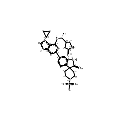 C[C@@H](Oc1nc(-c2ccc3c(c2)NC(=O)C32CCN(S(C)(=O)=O)CC2)cc2ncn(C3CC3)c12)[C@H]1CNC(=O)C1